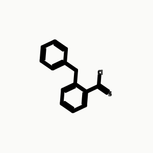 S=C(Cl)c1ccccc1Cc1ccccc1